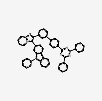 c1ccc(-c2nc(-c3ccccc3)nc(-c3ccc(-c4cccc(-c5nc6ccccn6c5-c5ccc6c7ccccc7n(-c7ccccc7)c6c5)c4)cc3)n2)cc1